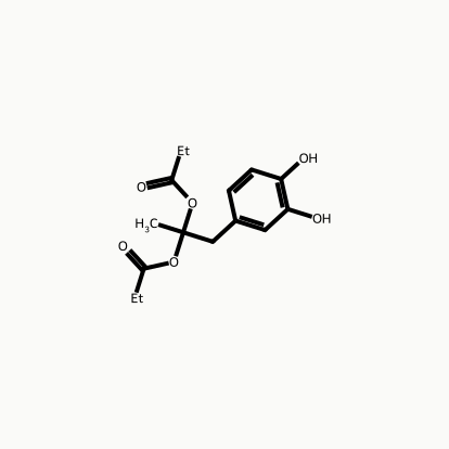 CCC(=O)OC(C)(Cc1ccc(O)c(O)c1)OC(=O)CC